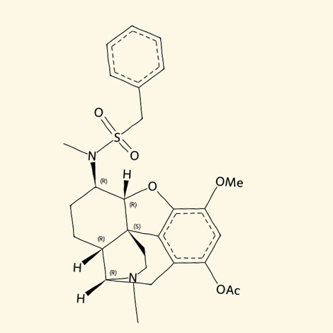 COc1cc(OC(C)=O)c2c3c1O[C@H]1[C@H](N(C)S(=O)(=O)Cc4ccccc4)CC[C@H]4[C@@H](C2)N(C)CC[C@@]341